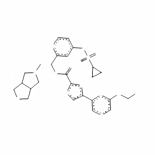 CCOc1cncc(-c2cnc(C(=O)N[C@H](CN3C[C@H]4COC[C@H]4C3)c3cc(NS(=O)(=O)C4CC4)ccn3)s2)n1